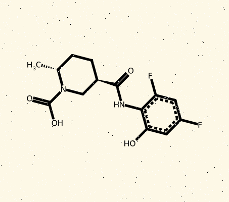 C[C@@H]1CC[C@@H](C(=O)Nc2c(O)cc(F)cc2F)CN1C(=O)O